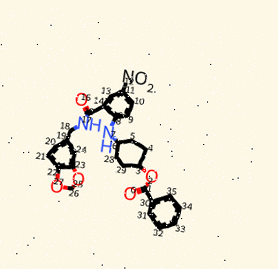 O=C(OC1CCC(Nc2ccc([N+](=O)[O-])cc2C(=O)NCc2ccc3c(c2)OCO3)CC1)c1ccccc1